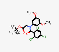 COc1cc(OC)cc(N(CC(=O)OC(C)(C)C)C(=O)c2c(Cl)cc(Cl)cc2Cl)c1